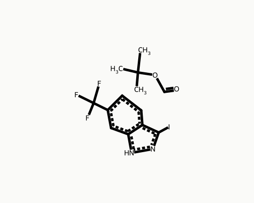 CC(C)(C)OC=O.FC(F)(F)c1ccc2c(I)n[nH]c2c1